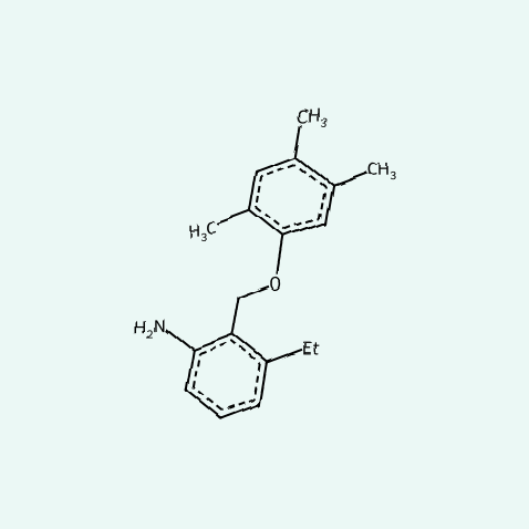 CCc1cccc(N)c1COc1cc(C)c(C)cc1C